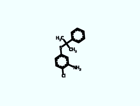 CC(C)(Sc1ccc(Cl)c(N)c1)c1ccccc1